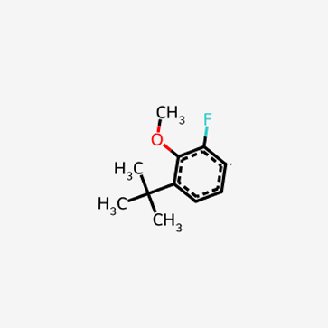 COc1c(F)[c]ccc1C(C)(C)C